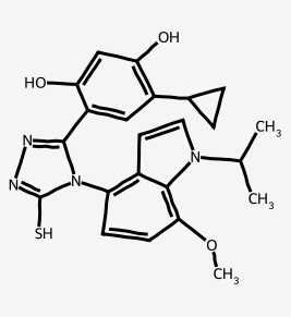 COc1ccc(-n2c(S)nnc2-c2cc(C3CC3)c(O)cc2O)c2ccn(C(C)C)c12